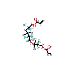 C=CC(=O)OCC(F)(F)CC(C)(C)C(F)(F)C(F)(F)OC(C)(C)C(F)(F)COC(=O)C=C